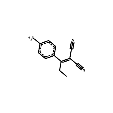 CCC(=C(C#N)C#N)c1ccc(N)cc1